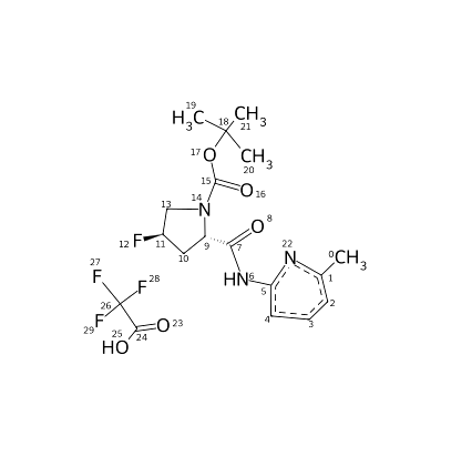 Cc1cccc(NC(=O)[C@@H]2C[C@@H](F)CN2C(=O)OC(C)(C)C)n1.O=C(O)C(F)(F)F